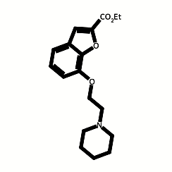 CCOC(=O)c1cc2cccc(OCCN3CCCCC3)c2o1